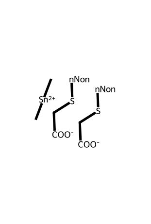 CCCCCCCCCSCC(=O)[O-].CCCCCCCCCSCC(=O)[O-].[CH3][Sn+2][CH3]